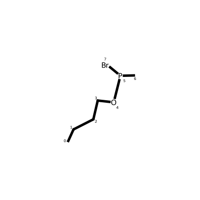 CCCCOP(C)Br